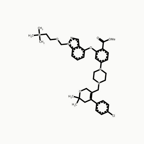 COC(=O)c1ccc(N2CCN(CC3=C(c4ccc(Cl)cc4)CC(C)(C)OC3)CC2)cc1Oc1cccc2c1cnn2COCC[Si](C)(C)C